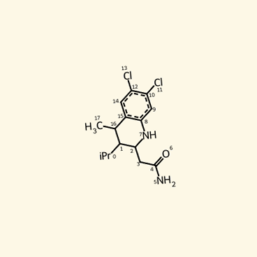 CC(C)C1C(CC(N)=O)Nc2cc(Cl)c(Cl)cc2C1C